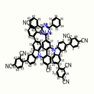 N#Cc1ccc(-c2ccc3c(c2)c2cc(-c4ccc(C#N)cc4C#N)ccc2n3-c2cc(-c3nc(-c4ccccc4)nc(-c4ccccc4)n3)ccc2-c2ccc(C(F)(F)F)cc2-n2c3ccc(-c4ccc(C#N)cc4C#N)cc3c3cc(-c4ccc(C#N)cc4C#N)ccc32)c(C#N)c1